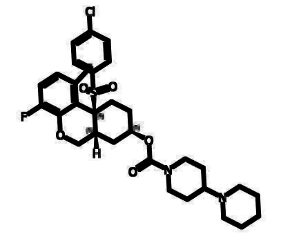 O=C(O[C@@H]1CC[C@@]2(S(=O)(=O)c3ccc(Cl)cc3)c3c(F)ccc(F)c3OC[C@H]2C1)N1CCC(N2CCCCC2)CC1